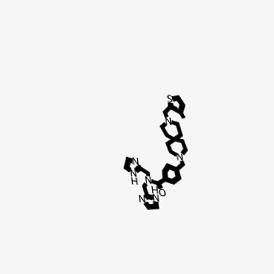 Cc1ccsc1CN1CCC2(CCN(Cc3ccc(C(=O)N(Cc4ncc[nH]4)Cc4ncc[nH]4)cc3)CC2)CC1